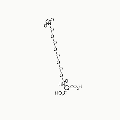 O=C(CCOCCOCCOCCOCCOCCOCCOCCOCCN1C(=O)C=CC1=O)Nc1cc(C(=O)O)cc(C(=O)O)c1